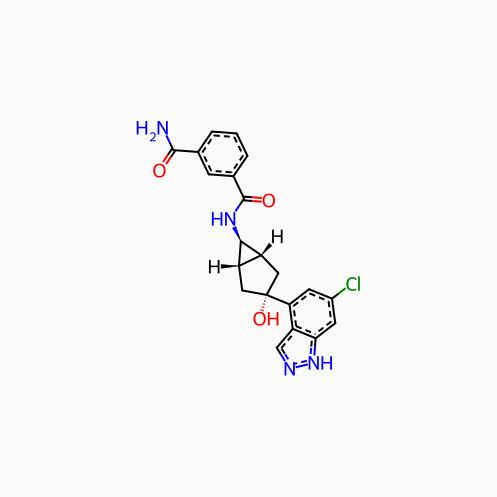 NC(=O)c1cccc(C(=O)N[C@H]2[C@@H]3C[C@@](O)(c4cc(Cl)cc5[nH]ncc45)C[C@@H]32)c1